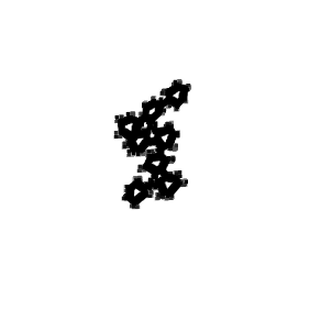 c1ccc(-c2ccc(-c3ccccc3)c(-n3c4ccccc4c4c(-c5ccc6c(c5)c5ccccc5n6-c5ccccc5)cccc43)c2)cc1